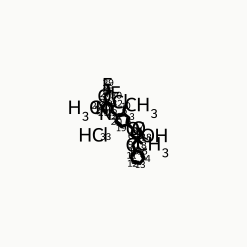 CCc1cc(OCC(C)(Oc2ccccc2)C(=O)O)ccc1-c1nn(C)c(OC(F)F)c1Cl.Cl